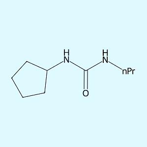 [CH2]CCNC(=O)NC1CCCC1